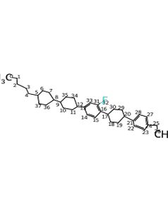 CCCCCC1CCC(C2CCC(c3ccc(C4CCC(c5ccc(CC)cc5)CC4)c(F)c3)CC2)CC1